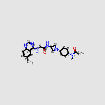 CCCC(=O)N(C)[C@H]1CC[C@@H](N2CC(NC(=O)CNc3ncnc4ccc(C(F)(F)F)cc34)C2)CC1